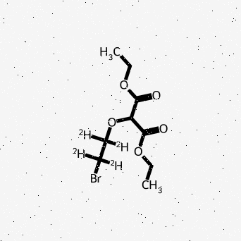 [2H]C([2H])(Br)C([2H])([2H])OC(C(=O)OCC)C(=O)OCC